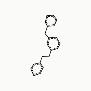 c1ccc(CCc2cccc(Cc3ccccc3)c2)cc1